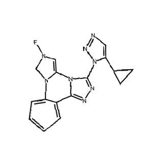 FN1C=C2N(C1)c1ccccc1-c1nnc(-n3nncc3C3CC3)n12